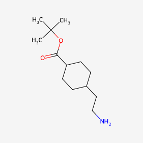 CC(C)(C)OC(=O)C1CCC(CCN)CC1